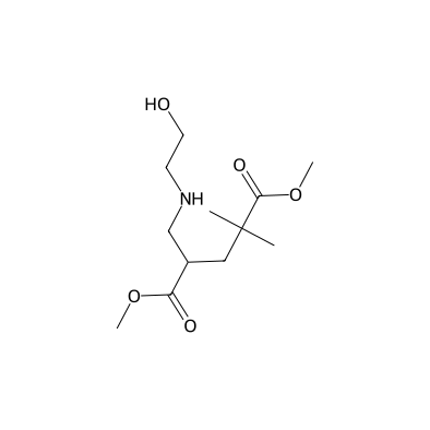 COC(=O)C(CNCCO)CC(C)(C)C(=O)OC